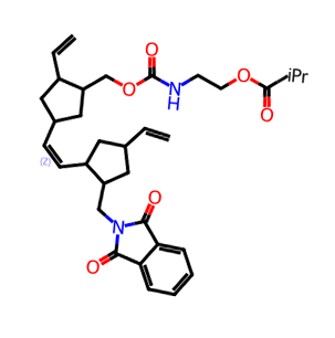 C=CC1CC(/C=C\C2CC(C=C)C(COC(=O)NCCOC(=O)C(C)C)C2)C(CN2C(=O)c3ccccc3C2=O)C1